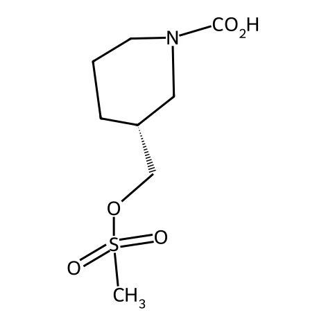 CS(=O)(=O)OC[C@@H]1CCCN(C(=O)O)C1